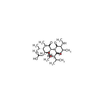 CN[C@H](C(=O)N(C(=O)[C@@H](NC)C(C)C)[C@H](C(=O)N(C)[C@@H](C(C)C)[C@@H](CC(=O)O)OC)C(C)C)C(C)C